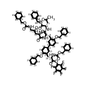 CC(C)C[C@H](NC(=O)[C@H](Cc1cc(-c2ccc(OCc3ccccc3)c(C[C@H](NC(=O)OCc3ccccc3)C(=O)Oc3c(F)c(F)c(F)c(F)c3F)c2)ccc1OCc1ccccc1)NC(=O)[C@@H](N)C[C@@H](O)CNC(=O)OCc1ccccc1)C(=O)OCc1ccccc1